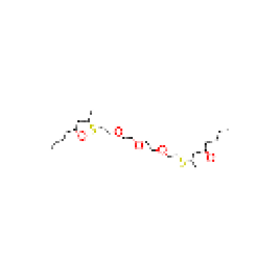 CCCCC(=O)CC(C)SCCOCCOCCOCCSC(C)CC(=O)CCCC